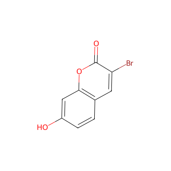 O=c1oc2cc(O)ccc2cc1Br